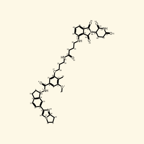 COc1cc(C(=O)N[C@@H]2CCc3ccc(-c4cn5c(n4)CCC5)cc32)cc(OCCCNC(=O)CCCNc2cccc3c2C(=O)N(C2CCC(=O)NC2=O)C3=O)c1C